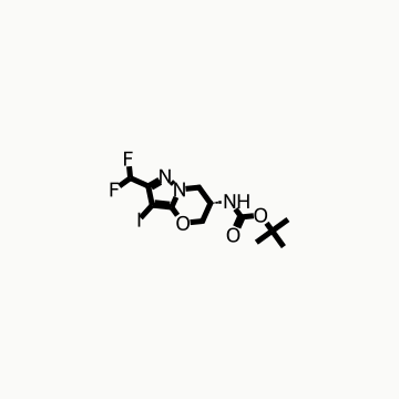 CC(C)(C)OC(=O)N[C@@H]1COc2c(I)c(C(F)F)nn2C1